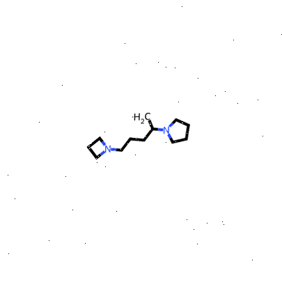 [CH2]C(CCCN1CCC1)N1CCCC1